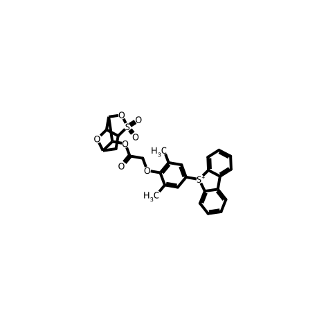 Cc1cc(-[s+]2c3ccccc3c3ccccc32)cc(C)c1OCC(=O)OC1C2CC3C(O2)C1OS3(=O)=O